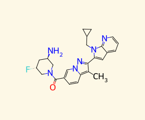 Cc1c(-c2cc3cccnc3n2CC2CC2)nn2cc(C(=O)N3C[C@H](N)C[C@@H](F)C3)ccc12